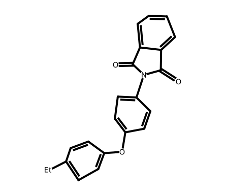 CCc1ccc(Oc2ccc(N3C(=O)c4ccccc4C3=O)cc2)cc1